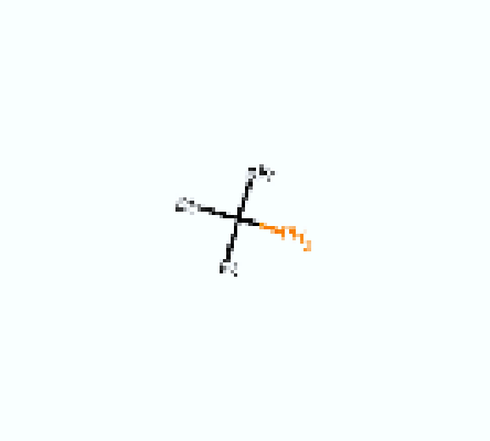 [CH2]CCC(P)(CC)CC